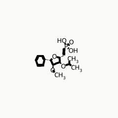 CO[C@@H]1[C@H](OC(C)C)[C@@H](/C=C/P(=O)(O)O)O[C@H]1c1ccccc1